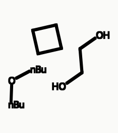 C1CCC1.CCCCOCCCC.OCCO